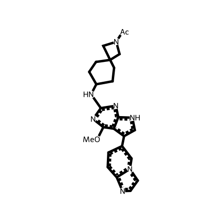 COc1nc(NC2CCC3(CC2)CN(C(C)=O)C3)nc2[nH]cc(-c3ccc4nccn4c3)c12